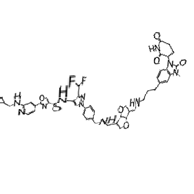 Cn1c(=O)n(C2CCC(=O)NC2=O)c2ccc(CCCNCC3COC4C(CNCc5ccc(-n6cc(NC(=O)c7coc(-c8ccnc(NCC9CC9)c8)n7)c(C(F)F)n6)cc5)COC34)cc21